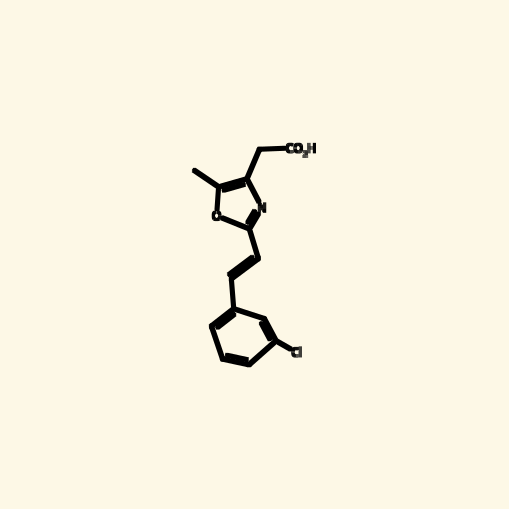 Cc1oc(C=Cc2cccc(Cl)c2)nc1CC(=O)O